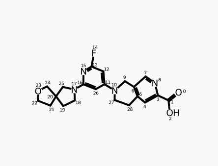 O=C(O)c1cc2c(cn1)CN(c1cc(F)nc(N3CCC4(CCOC4)C3)c1)CC2